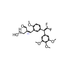 COc1ccc(C(=C(F)F)c2cc(OC)c(OC)c(OC)c2)cc1/C=C(\C=O)CNO